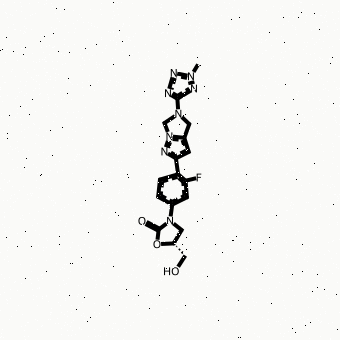 Cn1nnc(N2Cc3cc(-c4ccc(N5C[C@H](CO)OC5=O)cc4F)nn3C2)n1